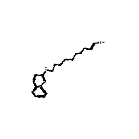 CCCCCCCCC=CCCCCCCCCNc1ccc2ccccc2c1